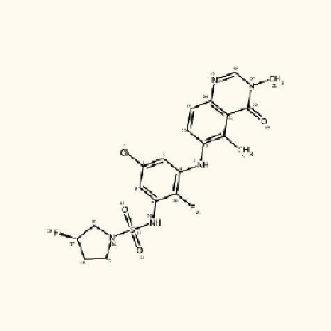 Cc1c(Nc2cc(Cl)cc(NS(=O)(=O)N3CC[C@@H](F)C3)c2F)ccc2ncn(C)c(=O)c12